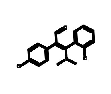 CN(C)C(=C(C=O)c1ccc(Cl)cc1)c1ccccc1Cl